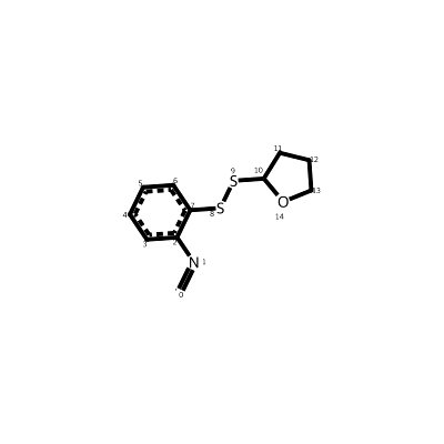 [CH]=Nc1ccccc1SSC1CCCO1